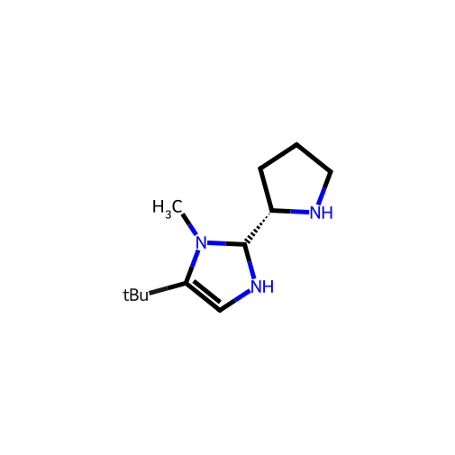 CN1C(C(C)(C)C)=CNC1[C@@H]1CCCN1